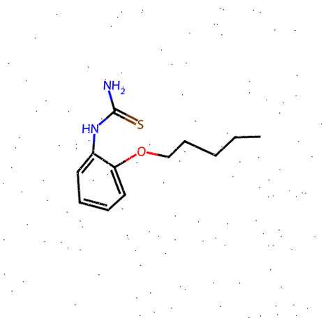 CCCCCOc1ccccc1NC(N)=S